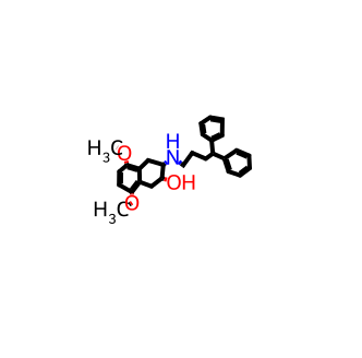 COc1ccc(OC)c2c1CC(O)C(NCCCC(c1ccccc1)c1ccccc1)C2